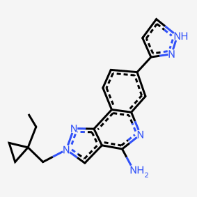 CCC1(Cn2cc3c(N)nc4cc(-c5cc[nH]n5)ccc4c3n2)CC1